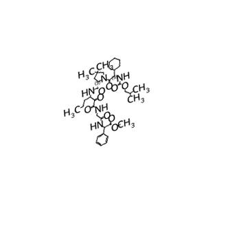 CCCC(NC(=O)[C@@H]1CC(C)(C)CN1C(=O)[C@@H](NC(=O)OCC(C)C)C1CCCCC1)C(=O)C(=O)NCC(=O)NC(C(=O)OC)c1ccccc1